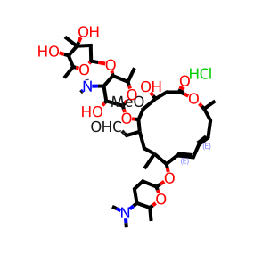 COC1C(O)CC(=O)OC(C)C/C=C/C=C/C(OC2CCC(N(C)C)C(C)O2)C(C)CC(CC=O)C1OC1OC(C)C(OC2CC(C)(O)C(O)C(C)O2)C(N(C)C)C1O.Cl